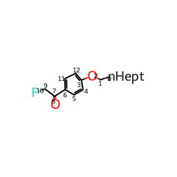 CCCCCCCCOc1ccc(C(=O)CF)cc1